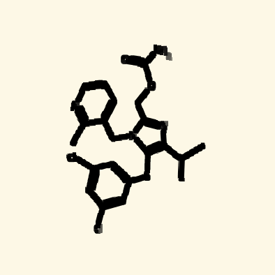 Cc1ncccc1Cn1c(COC(N)=O)nc(C(C)C)c1Sc1cc(Cl)cc(Cl)c1